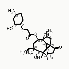 C=C[C@]1(C)C[C@@H](OC(=O)CS[C@@H]2CC[C@@H](N)C[C@H]2O)[C@]2(C)C(C)C[C@@]34C(=O)CC[C@]3([C@H]24)C(C)(C)[C@@H]1O